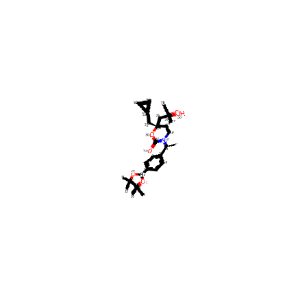 C[C@@H](c1ccc(B2OC(C)(C)C(C)(C)O2)cc1)N1CC[C@@](CC2CC2)(CC(C)(C)O)OC1=O